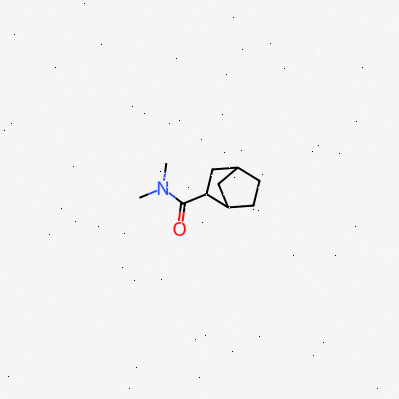 CN(C)C(=O)C1CC2CCC1C2